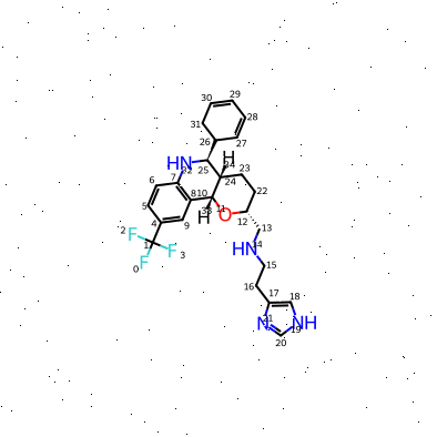 FC(F)(F)c1ccc2c(c1)[C@H]1O[C@@H](CNCCc3c[nH]cn3)CC[C@H]1[C@H](C1C=CC=CC1)N2